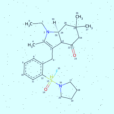 CCN1C(C)=C(Cc2ccccc2[SH](=O)(F)N2CCCC2)C2C(=O)CC(C)(C)C[C@@H]21